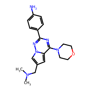 CN(C)Cc1cc2c(N3CCOCC3)nc(-c3ccc(N)cc3)nn2c1